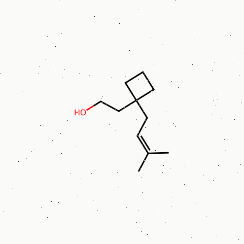 CC(C)=CCC1(CCO)CCC1